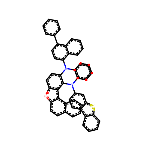 c1ccc(-c2ccc(N(c3ccccc3)c3ccc4oc5ccc6ccccc6c5c4c3N(c3ccccc3)c3ccc4c(c3)sc3ccccc34)c3ccccc23)cc1